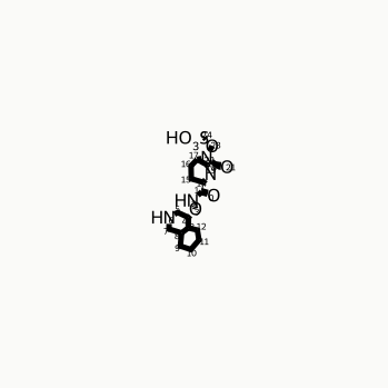 O=C(NOC1CNCC2CCCCC21)[C@@H]1CCC2CN1C(=O)N2OS(=O)(=O)O